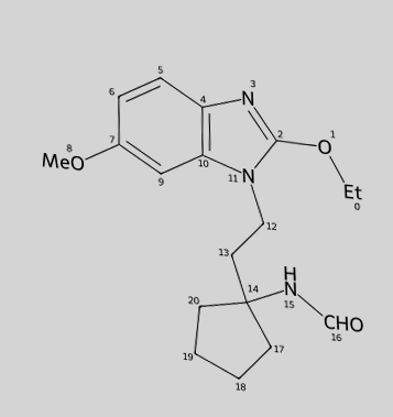 CCOc1nc2ccc(OC)cc2n1CCC1(NC=O)CCCC1